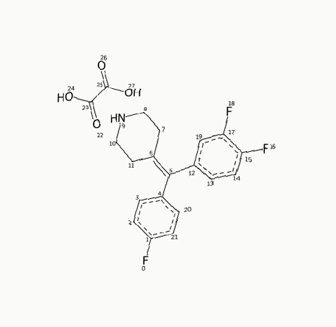 Fc1ccc(C(=C2CCNCC2)c2ccc(F)c(F)c2)cc1.O=C(O)C(=O)O